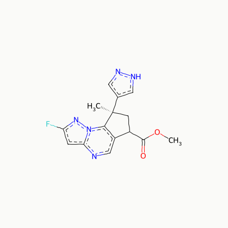 COC(=O)C1C[C@](C)(c2cn[nH]c2)c2c1cnc1cc(F)nn21